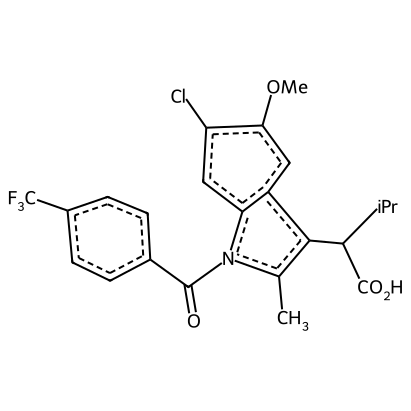 COc1cc2c(C(C(=O)O)C(C)C)c(C)n(C(=O)c3ccc(C(F)(F)F)cc3)c2cc1Cl